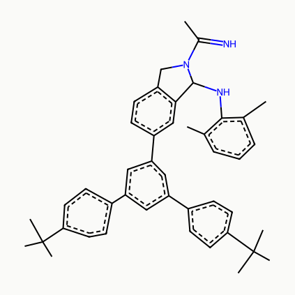 CC(=N)N1Cc2ccc(-c3cc(-c4ccc(C(C)(C)C)cc4)cc(-c4ccc(C(C)(C)C)cc4)c3)cc2C1Nc1c(C)cccc1C